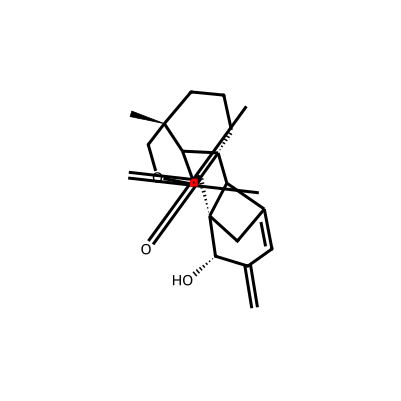 C=C1C(=O)[C@]23CC(=CC(=C)[C@@H]2O)C3[C@@]23CCC[C@@](C)(COC2)C13